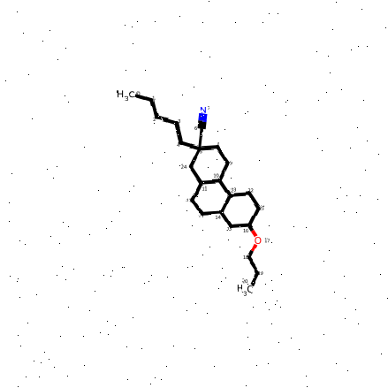 CCCCCC1(C#N)CCC2C(CCC3CC(OCCC)CCC32)C1